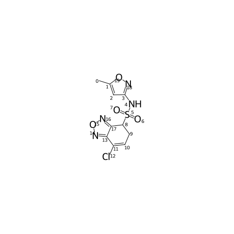 Cc1cc(NS(=O)(=O)C2CC=C(Cl)c3nonc32)no1